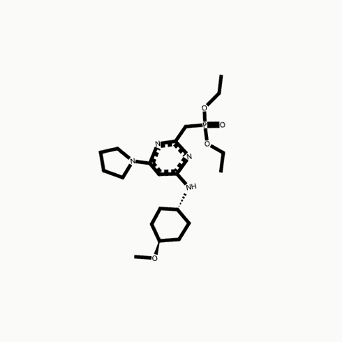 CCOP(=O)(Cc1nc(N[C@H]2CC[C@H](OC)CC2)cc(N2CCCC2)n1)OCC